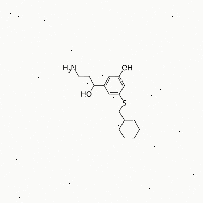 NCCC(O)c1cc(O)cc(SCC2CCCCC2)c1